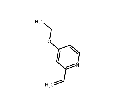 C=Cc1cc(OCC)ccn1